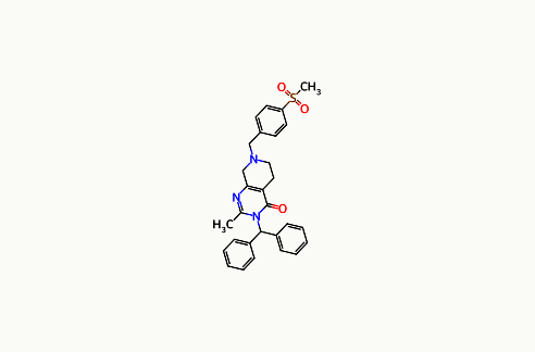 Cc1nc2c(c(=O)n1C(c1ccccc1)c1ccccc1)CCN(Cc1ccc(S(C)(=O)=O)cc1)C2